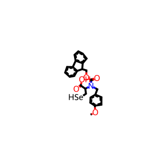 COc1ccc(CN(C(=O)OCC2c3ccccc3-c3ccccc32)C(C[SeH])C(=O)O)cc1